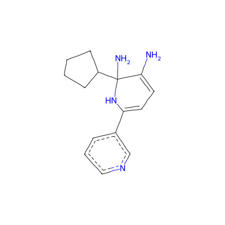 NC1=CC=C(c2cccnc2)NC1(N)C1CCCC1